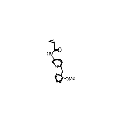 COc1ccccc1Cc1ccc(NC(=O)C2CC2)cn1